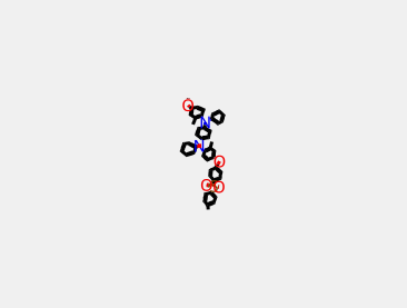 COc1ccc(N(c2ccccc2)c2ccc(N(c3ccccc3)c3ccc(Oc4ccc(S(=O)(=O)c5ccc(C)cc5)cc4)cc3C)cc2)c(C)c1